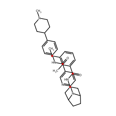 COc1cccc(C(=O)NC2CC3CCC(C2)N3c2ccc(C(=O)Nc3ccc(C4CCN(C)CC4)cc3)cn2)c1C